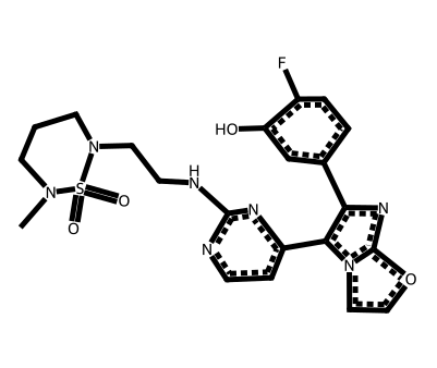 CN1CCCN(CCNc2nccc(-c3c(-c4ccc(F)c(O)c4)nc4occn34)n2)S1(=O)=O